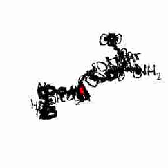 Cc1c(-c2ccc(-c3ccc4nccc(C(O)Nc5nc6ccccc6s5)c4c3)nc2C(=O)O)cnn1CC12CC3(C)CC(C)(C1)CC(OCCN(CCS(=O)(=O)O)C(=O)OCc1ccc(NC(=O)[C@H](CCCNC(N)=O)NC(=O)[C@@H](NC(=O)CCCCCN4C(=O)C=CC4=O)C(C)C)cc1)(C3)C2